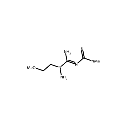 CNC(=S)/N=C(\N)N(N)CCOC